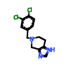 Clc1ccc(CN2CCc3[nH]cnc3C2)cc1Cl